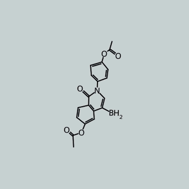 Bc1cn(-c2ccc(OC(C)=O)cc2)c(=O)c2ccc(OC(C)=O)cc12